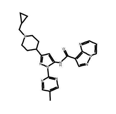 Cc1cnc(-n2nc(C3CCN(CC4CC4)CC3)cc2NC(=O)c2cnn3cccnc23)nc1